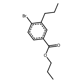 CCCOC(=O)c1ccc(Br)c(CCC)c1